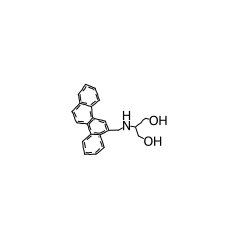 OCC(CO)NCc1cc2c3ccccc3ccc2c2ccccc12